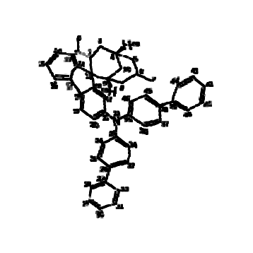 CC[C@@H]1C[C@@H]2CC(C)C[C@@H](C2)C12c1ccccc1-c1ccc(N(c3ccc(-c4ccccc4)cc3)c3ccc(-c4ccccc4)cc3)cc12